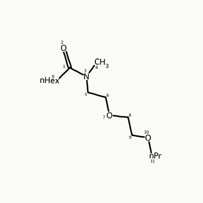 CCCCCCC(=O)N(C)CCOCCOCCC